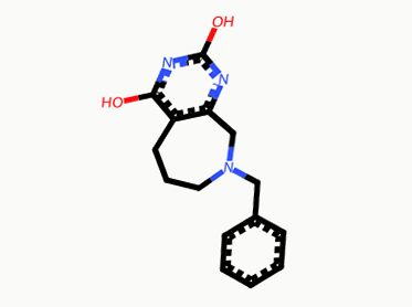 Oc1nc(O)c2c(n1)CN(Cc1ccccc1)CCC2